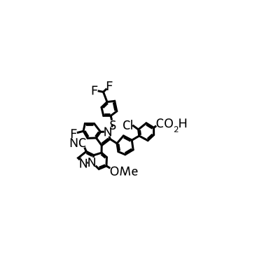 COc1cc(-c2c(-c3cccc(-c4ccc(C(=O)O)cc4Cl)c3)n(Sc3ccc(C(F)F)cc3)c3ccc(F)cc23)c2c(C#N)cnn2c1